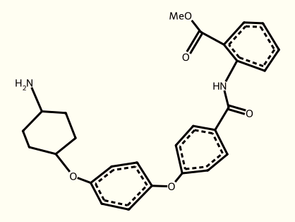 COC(=O)c1ccccc1NC(=O)c1ccc(Oc2ccc(OC3CCC(N)CC3)cc2)cc1